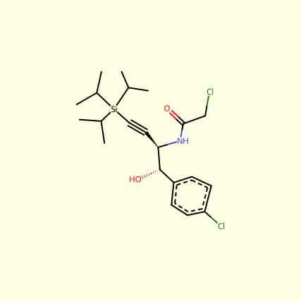 CC(C)[Si](C#C[C@@H](NC(=O)CCl)[C@@H](O)c1ccc(Cl)cc1)(C(C)C)C(C)C